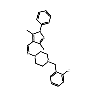 Cc1nn(-c2ccccc2)c(C)c1/C=N\N1CCN(Cc2ccccc2Cl)CC1